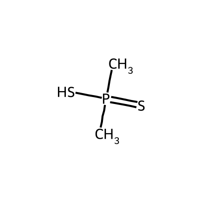 CP(C)(=S)S